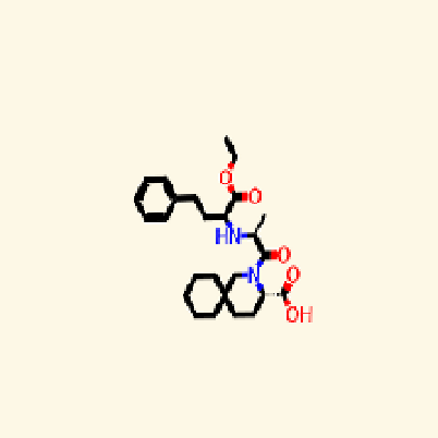 CCOC(=O)C(CCc1ccccc1)N[C@@H](C)C(=O)N1CC2(CCCCC2)CC[C@H]1C(=O)O